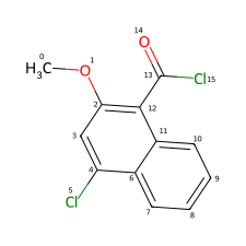 COc1cc(Cl)c2ccccc2c1C(=O)Cl